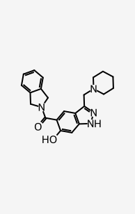 O=C(c1cc2c(CN3CCCCC3)n[nH]c2cc1O)N1Cc2ccccc2C1